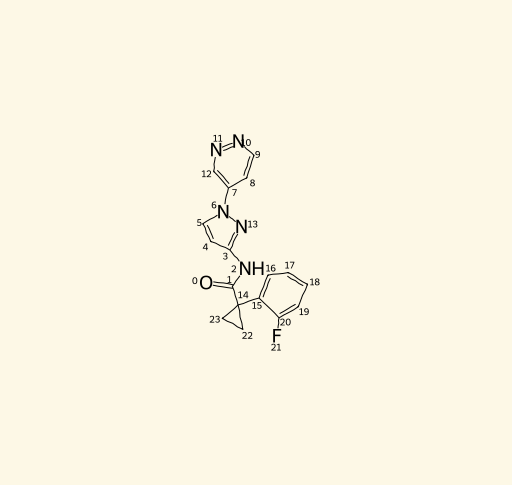 O=C(Nc1ccn(-c2ccnnc2)n1)C1(c2ccccc2F)CC1